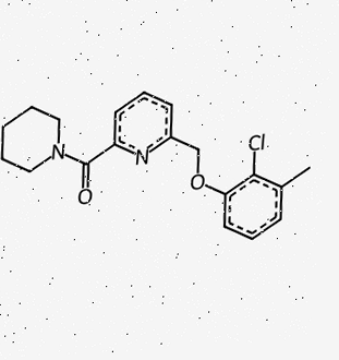 Cc1cccc(OCc2cccc(C(=O)N3CCCCC3)n2)c1Cl